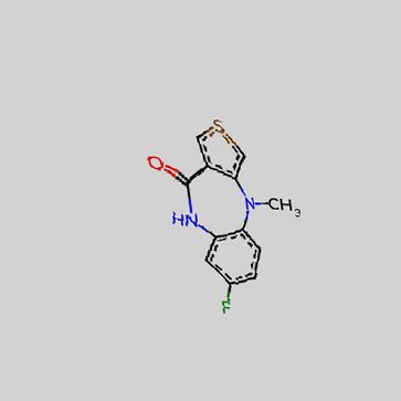 CN1c2ccc(F)cc2NC(=O)c2cscc21